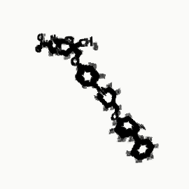 CC1(COc2ccc(N3CCC(COc4ccc(-c5ccccc5)cc4)CC3)cc2)Cn2cc([N+](=O)[O-])nc2O1